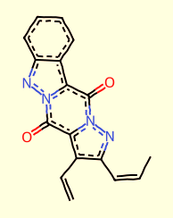 C=Cc1c(/C=C\C)nn2c(=O)c3c4ccccc4nn3c(=O)c12